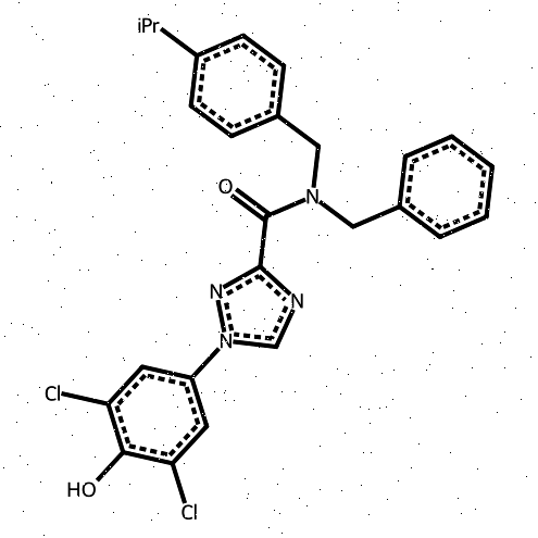 CC(C)c1ccc(CN(Cc2ccccc2)C(=O)c2ncn(-c3cc(Cl)c(O)c(Cl)c3)n2)cc1